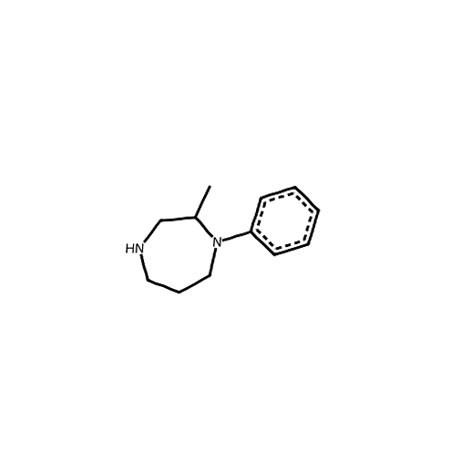 CC1CNCCCN1c1ccccc1